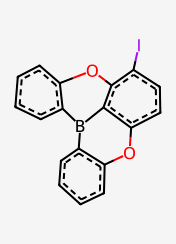 Ic1ccc2c3c1Oc1ccccc1B3c1ccccc1O2